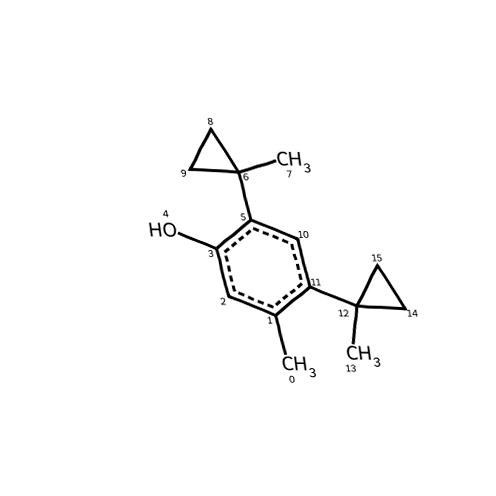 Cc1cc(O)c(C2(C)CC2)cc1C1(C)CC1